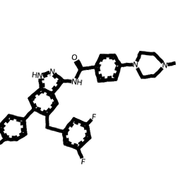 Cc1cc(-c2cc3[nH]nc(NC(=O)c4ccc(N5CCN(C)CC5)cc4)c3cc2Cc2cc(F)cc(F)c2)ccc1O